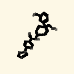 NCC1(c2cccc(Cl)c2)CCC(NC(=O)c2ccc(-n3cncn3)nc2)CC1